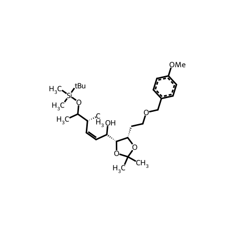 COc1ccc(COCC[C@@H]2OC(C)(C)O[C@@H]2C(O)/C=C\[C@@H](C)C(C)O[Si](C)(C)C(C)(C)C)cc1